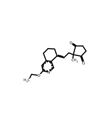 CCOc1cc2c(cn1)C(=CCC1(C)C(=O)CCC1=O)CCC2